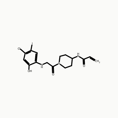 C=CC(=O)NC1CCN(C(=O)CNc2cc(I)c(Cl)cc2O)CC1